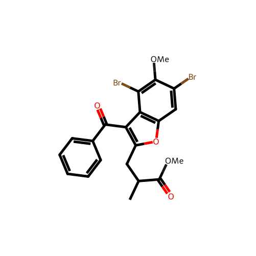 COC(=O)C(C)Cc1oc2cc(Br)c(OC)c(Br)c2c1C(=O)c1ccccc1